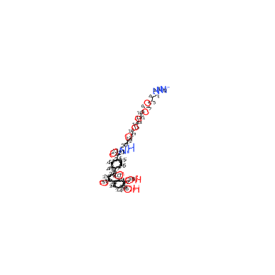 [N-]=[N+]=NCCCOCCOCCOCCOCCOCCNC(=O)c1ccc(-c2cc(=O)c3ccc(O)c(O)c3o2)cc1